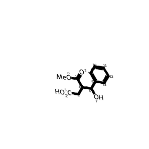 COC(=O)C(CC(=O)O)C(O)c1ccccc1